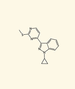 CSc1nccc(-c2nn(C3CC3)c3ccccc23)n1